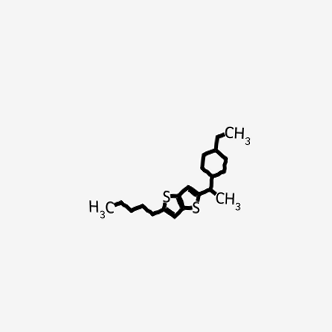 CCCCCc1cc2sc(C(C)C3CCC(CC)CC3)cc2s1